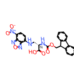 O=C(N[C@@H](CNc1ccc([N+](=O)[O-])c2nonc12)C(=O)O)OCC1c2ccccc2-c2ccccc21